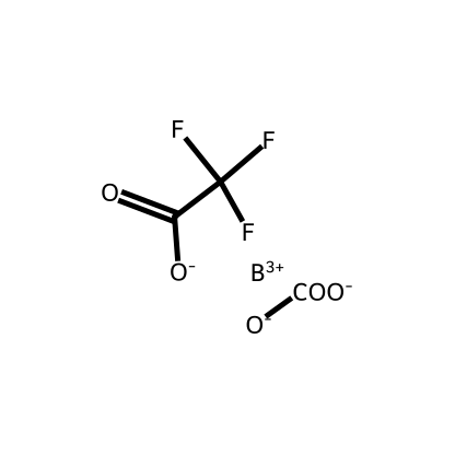 O=C([O-])C(F)(F)F.O=C([O-])[O-].[B+3]